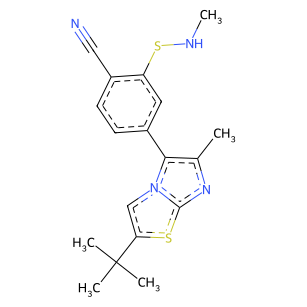 CNSc1cc(-c2c(C)nc3sc(C(C)(C)C)cn23)ccc1C#N